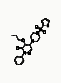 CCCOc1c(N2CCN(S(=O)(=O)c3cccs3)CC2)cnn(-c2ccccc2)c1=O